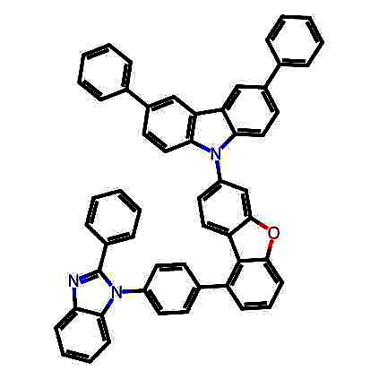 c1ccc(-c2ccc3c(c2)c2cc(-c4ccccc4)ccc2n3-c2ccc3c(c2)oc2cccc(-c4ccc(-n5c(-c6ccccc6)nc6ccccc65)cc4)c23)cc1